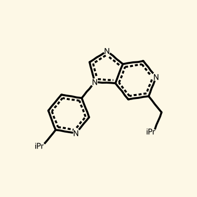 CC(C)Cc1cc2c(cn1)ncn2-c1ccc(C(C)C)nc1